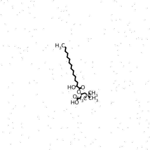 CCCCCCCCCCCCCCC(O)C(=O)O[C@H](CC(=O)O)C[N+](C)(C)C